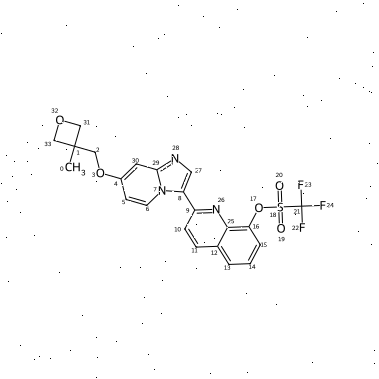 CC1(COc2ccn3c(-c4ccc5cccc(OS(=O)(=O)C(F)(F)F)c5n4)cnc3c2)COC1